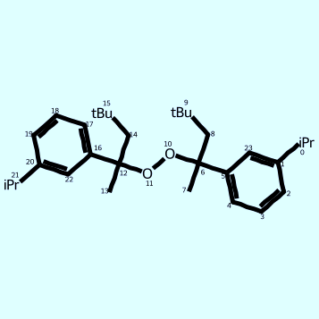 CC(C)c1cccc(C(C)(CC(C)(C)C)OOC(C)(CC(C)(C)C)c2cccc(C(C)C)c2)c1